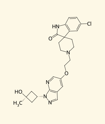 C[C@]1(O)C[C@H](n2ncc3cc(OCCN4CCC5(CC4)C(=O)Nc4ccc(Cl)cc45)cnc32)C1